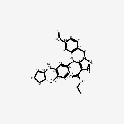 CCOC(=O)c1nnn(Cc2ccc(OC)cc2)c1Oc1ccc(Cl)c(OC2CCCC2)c1